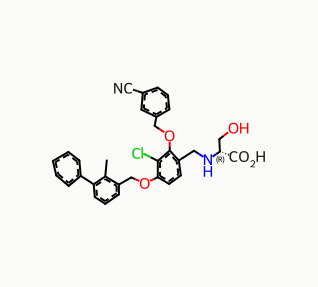 Cc1c(COc2ccc(CN[C@H](CO)C(=O)O)c(OCc3cccc(C#N)c3)c2Cl)cccc1-c1ccccc1